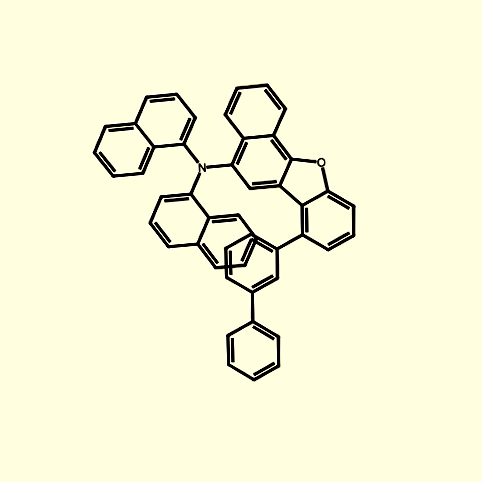 c1ccc(-c2cccc(-c3cccc4oc5c6ccccc6c(N(c6cccc7ccccc67)c6cccc7ccccc67)cc5c34)c2)cc1